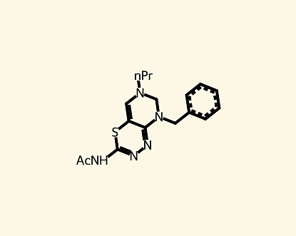 CCCN1C=C2SC(NC(C)=O)=NN=C2N(Cc2ccccc2)C1